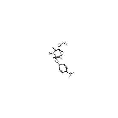 CC(C)OC(=O)[C@H](C)N[PH](=O)Oc1ccc(N(C)C)cc1